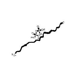 CCCCCCCCCCCC=CC=CC=CC=O.O=P(O)(O)OP(=O)(O)O